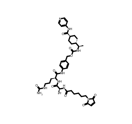 CC(C)[C@H](NC(=O)CCCCCN1C(=O)C=CC1=O)C(=O)N[C@@H](CCCNC(N)=O)C(=O)Nc1ccc(COC(=O)N[C@H](C)[C@H]2CC[C@H](C(=O)Nc3ccncc3)CC2)cc1